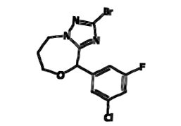 Fc1cc(Cl)cc(C2OCCCn3nc(Br)nc32)c1